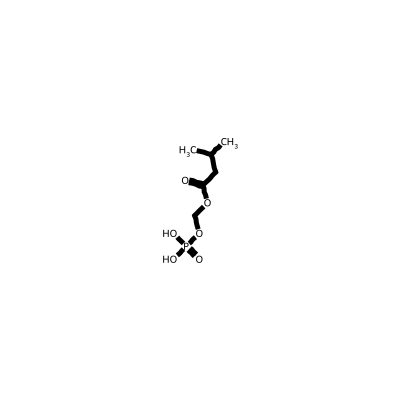 CC(C)CC(=O)OCOP(=O)(O)O